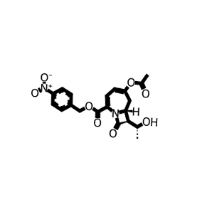 CC(=O)OC1=CC=C(C(=O)OCc2ccc([N+](=O)[O-])cc2)N2C(=O)[C@H]([C@@H](C)O)[C@H]2C1